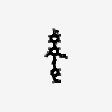 CCCCc1ccc(C#Cc2c(C)cc(-c3ccc(CCC)cc3)cc2F)cc1